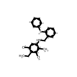 CCc1c(Cl)cc(NCc2ccccc2Sc2ccccc2)c(C)c1Cl